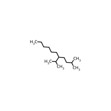 CCCCCCC(CCC(C)C)[C](C)C